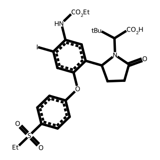 CCOC(=O)Nc1cc(C2CCC(=O)N2C(C(=O)O)C(C)(C)C)c(Oc2ccc(S(=O)(=O)CC)cc2)cc1I